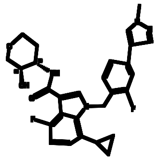 Cn1cc(-c2ccc(Cn3cc(C(=O)N[C@H]4CCOC[C@@H]4O)c4c(F)ccc(C5CC5)c43)c(F)c2)cn1